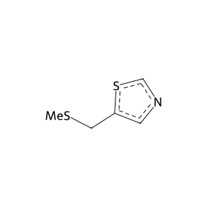 CSCc1cncs1